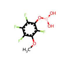 COc1c(F)c(F)c(F)c(OB(O)O)c1F